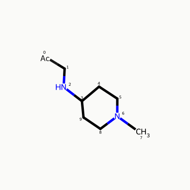 CC(=O)CNC1CCN(C)CC1